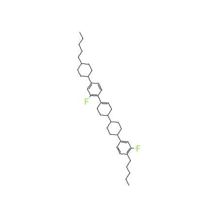 CCCCCc1ccc(C2CCC(C3CC=C(c4ccc(C5CCC(CCCCC)CC5)cc4F)CC3)CC2)cc1F